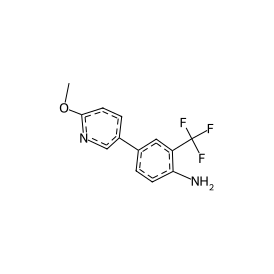 COc1ccc(-c2ccc(N)c(C(F)(F)F)c2)cn1